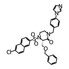 O=C1[C@H](COCc2ccccc2)N(S(=O)(=O)c2ccc3cc(Cl)ccc3c2)CCN1Cc1ccc(-n2ccnc2)cc1